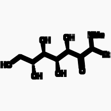 [CH2]CC(NC)C(=O)[C@H](O)[C@@H](O)[C@H](O)[C@H](O)CO